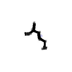 C=C(O)/C=C/CBr